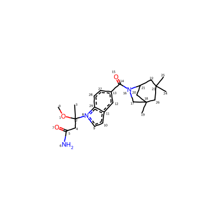 COC(C)(CC(N)=O)n1ccc2cc(C(=O)N3CC4(C)CC3CC(C)(C)C4)ccc21